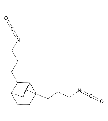 O=C=NCCCC1C2CCCC13C(CCCN=C=O)C23